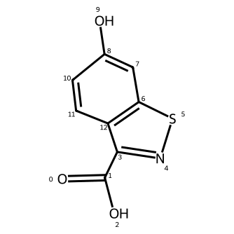 O=C(O)c1nsc2cc(O)ccc12